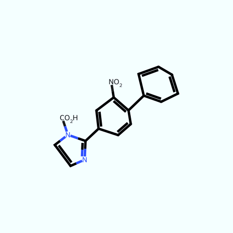 O=C(O)n1ccnc1-c1ccc(-c2ccccc2)c([N+](=O)[O-])c1